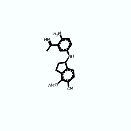 COc1c(C#N)ccc2c1CCC2Nc1ccc(N)c(C(C)=N)c1